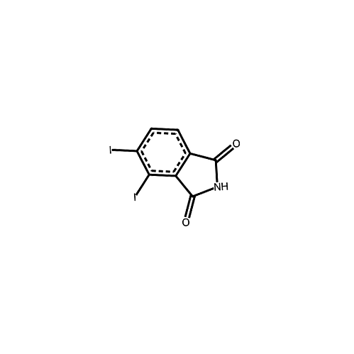 O=C1NC(=O)c2c1ccc(I)c2I